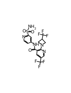 NS(=O)(=O)c1cc(NC(=O)c2cc(C(F)(F)F)cnc2N2CC(C(F)(F)F)C2)ccn1